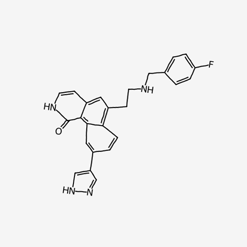 O=c1[nH]ccc2cc(CCNCc3ccc(F)cc3)c3ccc(-c4cn[nH]c4)cc3c12